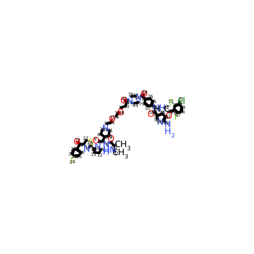 CN[C@H](C)C(=O)N[C@@H](C(=O)N1CCC[C@@H]1C1=NC(C(=O)c2ccc(F)cc2)CS1)C1CCN(CCOCCOCCC(=O)N2CCN(C(=O)c3ccc(NC(=O)c4cnc(N)c(O[C@H](C)c5c(F)ccc(Cl)c5F)c4)cc3)CC2)CC1